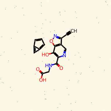 C#Cc1noc2c(O)c(C(=O)NCC(=O)O)ncc12.c1cc2cc-2c1